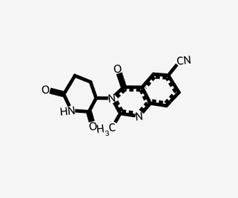 Cc1nc2ccc(C#N)cc2c(=O)n1C1CCC(=O)NC1=O